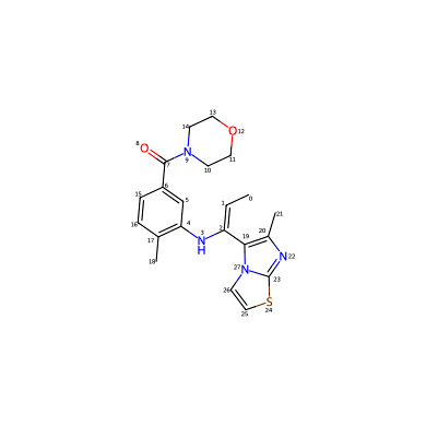 C/C=C(/Nc1cc(C(=O)N2CCOCC2)ccc1C)c1c(C)nc2sccn12